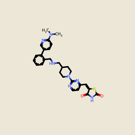 CN(C)c1ccc(-c2ccccc2CNCC2CCN(c3nccc(C=C4SC(=O)NC4=O)n3)CC2)cn1